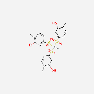 Cc1ccc(S(=O)(=O)C(C)(S(=O)(=O)c2ccc(C)c(O)c2)S(=O)(=O)c2ccc(C)c(O)c2)cc1O